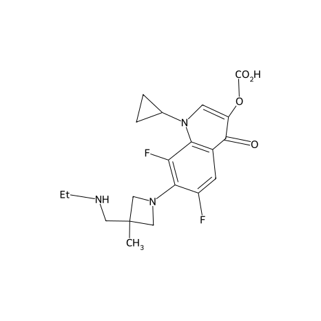 CCNCC1(C)CN(c2c(F)cc3c(=O)c(OC(=O)O)cn(C4CC4)c3c2F)C1